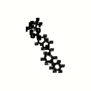 O=C(OC(C(F)(F)F)C(F)(F)F)N1CC2CN(Cc3cccc(-c4ccccc4)c3)CC2C1